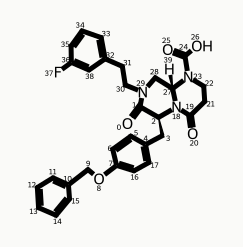 O=C1[C@H](Cc2ccc(OCc3ccccc3)cc2)N2C(=O)CCN(C(=O)O)[C@H]2CN1CCc1cccc(F)c1